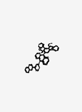 c1cc(-c2ccc3ccccc3c2)cc(-c2c3ccccc3c(-c3cc4c5ccccc5sc4c4c3sc3ccccc34)c3ccccc23)c1